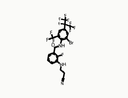 N#CCCNc1cccc(C(=O)Nc2c(Br)cc(C(F)(C(F)(F)F)C(F)(F)F)cc2C(F)(F)F)c1F